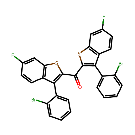 O=C(c1sc2cc(F)ccc2c1-c1ccccc1Br)c1sc2cc(F)ccc2c1-c1ccccc1Br